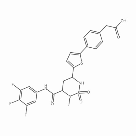 CN1C(C(=O)Nc2cc(F)c(F)c(F)c2)CC(c2ccc(-c3ccc(CC(=O)O)cc3)s2)NS1(=O)=O